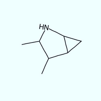 CC1NC2CC2C1C